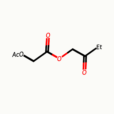 CCC(=O)COC(=O)COC(C)=O